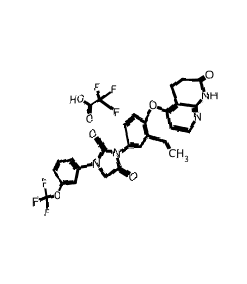 CCc1cc(N2C(=O)CN(c3cccc(OC(F)(F)F)c3)C2=O)ccc1Oc1ccnc2c1CCC(=O)N2.O=C(O)C(F)(F)F